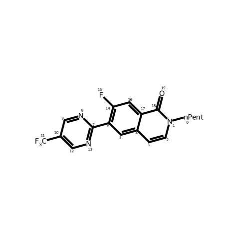 CCCCCn1ccc2cc(-c3ncc(C(F)(F)F)cn3)c(F)cc2c1=O